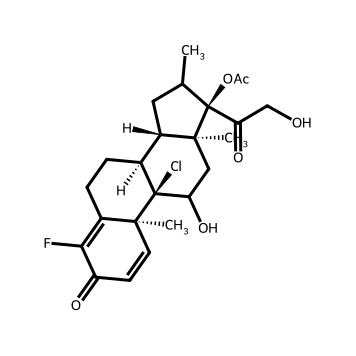 CC(=O)O[C@]1(C(=O)CO)C(C)C[C@H]2[C@@H]3CCC4=C(F)C(=O)C=C[C@]4(C)[C@@]3(Cl)C(O)C[C@@]21C